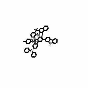 Cc1ccc(Nc2cc(N(c3ccccc3)c3ccccc3)ccc2-c2cc(-c3ccc4c(c3)sc3ccccc34)c3c4c5ccccc5cc5c4n4c3c2Bc2cccc(c2-4)C5(C)C)cc1